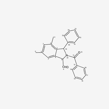 Cc1cc(C)c2c(c1)C(C=O)N(C(=O)c1ccccc1)C2c1ccccc1